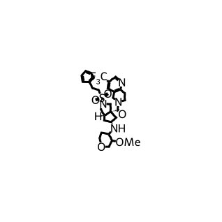 COC1COCCC1N[C@@H]1C[C@H]2CN(S(=O)(=O)CCc3ccccc3)C[C@@]2(C(=O)N2CCc3ncc(C(F)(F)F)cc3C2)C1